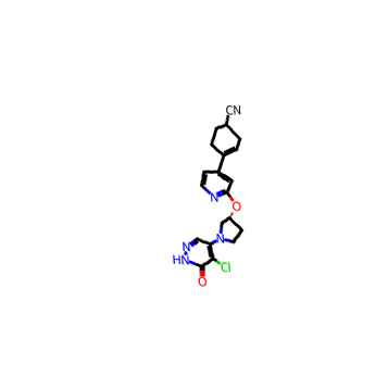 N#CC1CC=C(c2ccnc(O[C@@H]3CCN(c4cn[nH]c(=O)c4Cl)C3)c2)CC1